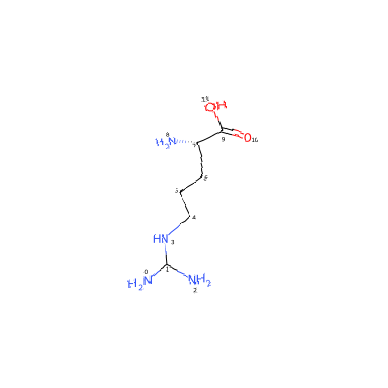 NC(N)NCCC[C@H](N)C(=O)O